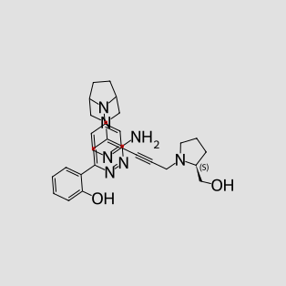 Nc1nnc(-c2ccccc2O)cc1N1CC2CCC(C1)N2c1ccnc(C#CCN2CCC[C@H]2CO)c1